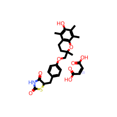 Cc1c(C)c2c(c(C)c1O)CCC(C)(COc1ccc(CC3SC(=O)NC3=O)cc1)O2.O=C(O)/C=C\C(=O)O